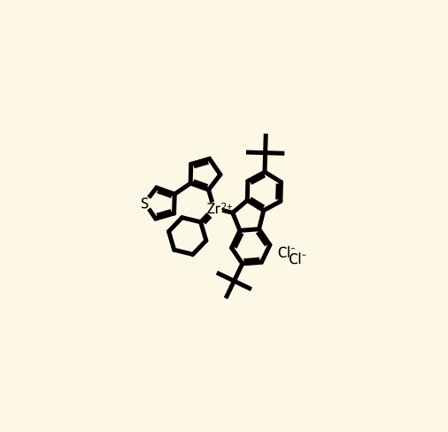 CC(C)(C)c1ccc2c(c1)[CH]([Zr+2]([C]1=C(c3ccsc3)C=CC1)=[C]1CCCCC1)c1cc(C(C)(C)C)ccc1-2.[Cl-].[Cl-]